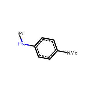 CNc1ccc(NC(C)C)cc1